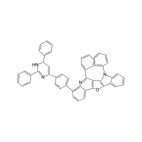 C1=C(c2ccc(-c3cccc4c3nc(-c3ccccc3)c3c4oc4c5ccccc5n(-c5ccccc5)c43)cc2)N=C(c2ccccc2)NC1c1ccccc1